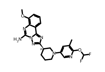 COc1cccc2c1nc(N)n1nc([C@@H]3CCCN(c4cnc(OC(F)F)c(C)c4)C3)nc21